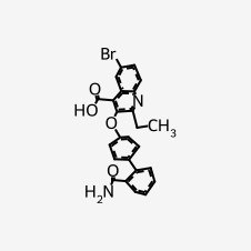 CCc1nc2ccc(Br)cc2c(C(=O)O)c1Oc1ccc(-c2ccccc2C(N)=O)cc1